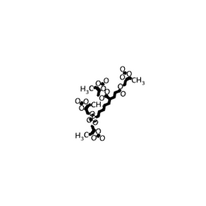 Cc1oc(=O)oc1COC(=O)CCC(CCCCCP(=O)(OCc1oc(=O)oc1C)OCc1oc(=O)oc1C)C(=O)OCc1oc(=O)oc1C